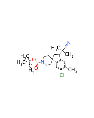 Cc1cc2c(cc1Cl)C1(CCN(C(=O)OC(C)(C)C)CC1)CC2C(C)(C)C#N